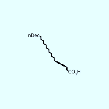 CCCCCCCCCCCCCCCCCCCCCCC#CC#CC=CC(=O)O